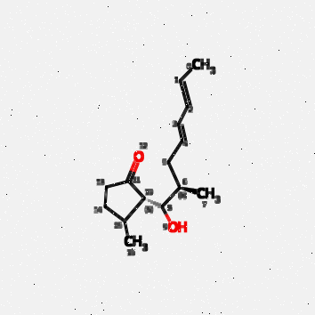 CC=CC=CC[C@@H](C)C(O)[C@H]1C(=O)CCC1C